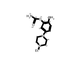 CCN1CCN(c2ccc(N)c(OC(N)=O)c2)CC1